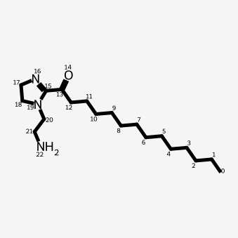 CCCCCCCCCCCCCC(=O)C1=NCCN1CCN